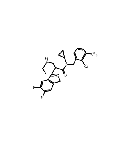 O=C(C1CNCC[C@@]12OCc1cc(F)c(F)cc12)N(Cc1cccc(C(F)(F)F)c1Cl)C1CC1